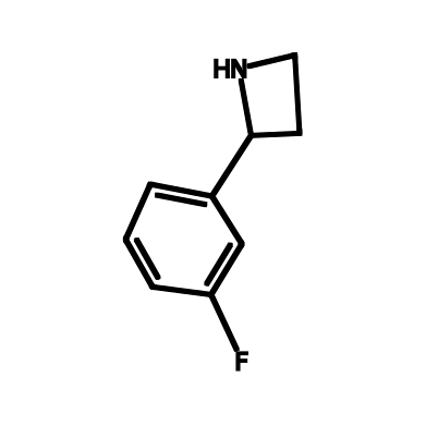 Fc1cccc(C2CCN2)c1